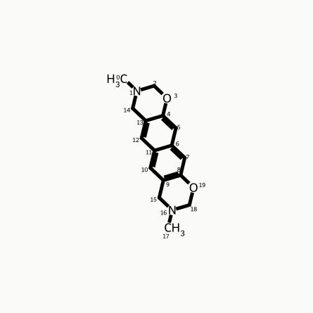 CN1COc2cc3cc4c(cc3cc2C1)CN(C)CO4